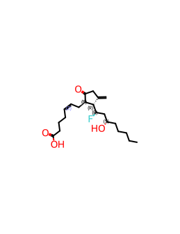 C=C1CC(=O)[C@H](C/C=C\CCCC(=O)O)[C@H]1[C@H](F)C[C@@H](O)CCCCC